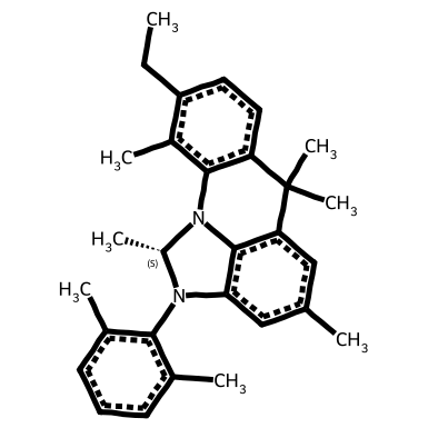 CCc1ccc2c(c1C)N1c3c(cc(C)cc3C2(C)C)N(c2c(C)cccc2C)[C@@H]1C